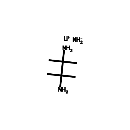 CC(C)(N)C(C)(C)N.[Li+].[NH2-]